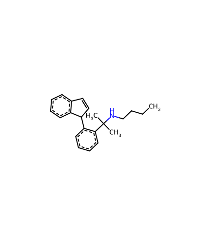 CCCCNC(C)(C)c1ccccc1C1C=Cc2ccccc21